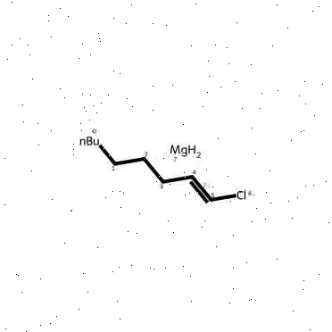 CCCCCCC/C=C/Cl.[MgH2]